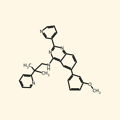 COc1cccc(-c2ccc3nc(-c4cccnc4)nc(NCC(C)(C)c4ccccn4)c3c2)c1